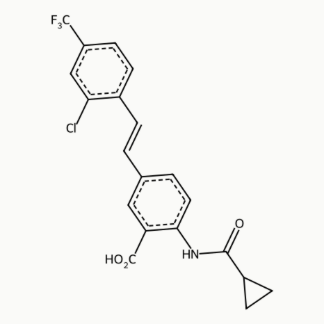 O=C(O)c1cc(C=Cc2ccc(C(F)(F)F)cc2Cl)ccc1NC(=O)C1CC1